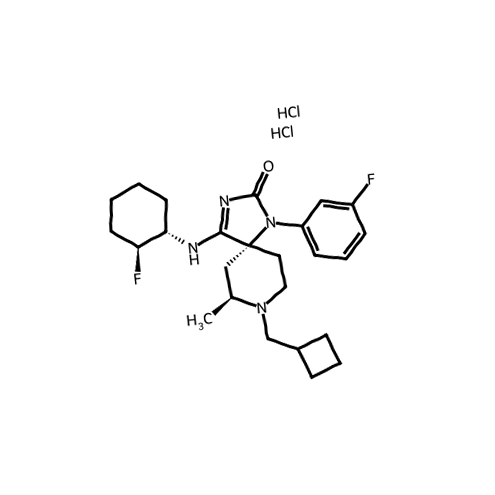 C[C@H]1C[C@]2(CCN1CC1CCC1)C(N[C@H]1CCCC[C@@H]1F)=NC(=O)N2c1cccc(F)c1.Cl.Cl